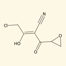 N#C/C(C(=O)C1CO1)=C(/O)CCl